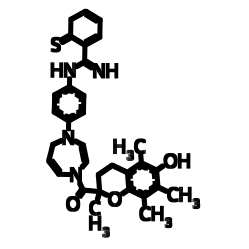 Cc1c(C)c2c(c(C)c1O)CCC(C)(C(=O)N1C=CCN(c3ccc(NC(=N)C4=CC=CCC4=S)cc3)C=C1)O2